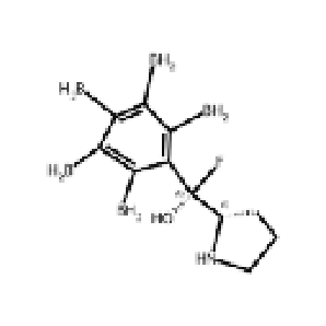 Bc1c(B)c(B)c([C@@](O)(F)[C@@H]2CCCN2)c(B)c1B